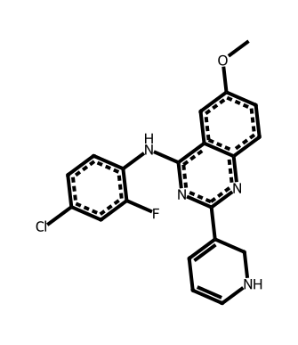 COc1ccc2nc(C3=CC=CNC3)nc(Nc3ccc(Cl)cc3F)c2c1